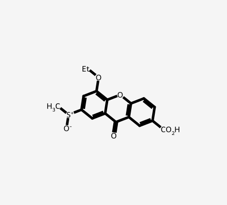 CCOc1cc([S+](C)[O-])cc2c(=O)c3cc(C(=O)O)ccc3oc12